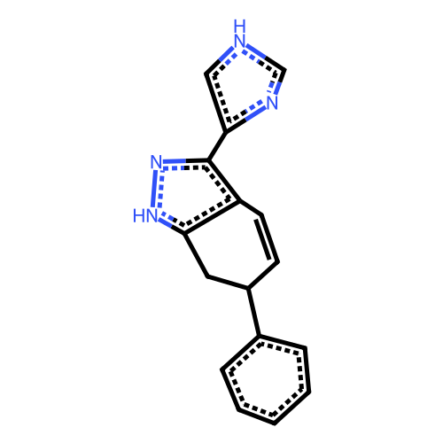 C1=CC(c2ccccc2)Cc2[nH]nc(-c3c[nH]cn3)c21